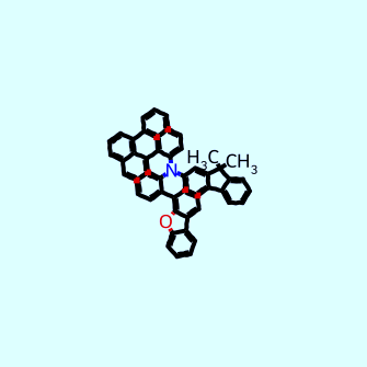 CC1(C)c2ccccc2-c2ccc(N(c3ccccc3-c3cccc4c3oc3ccccc34)c3ccccc3-c3cccc4cccc(-c5ccccc5)c34)cc21